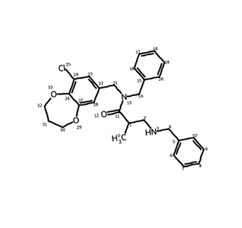 CC(CNCc1ccccc1)C(=O)N(Cc1ccccc1)Cc1cc(Cl)c2c(c1)OCCCO2